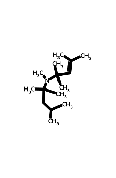 CC(C)=CC(C)(C)N(C)C(C)(C)CC(C)C